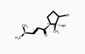 CC(C)C1CC[C@H](C(=O)/C=C/N(C)C)[C@@]1(C)C(C)C